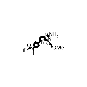 COCCOc1nc(N)nc2ccc(-c3ccc(NC(=O)C(C)C)cc3)nc12